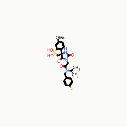 COc1ccc2c(c1)S(O)(O)CC21NC(=O)N(CC(=O)N(Cc2ccc(F)cc2)[C@@H](C)C(F)(F)F)C1=O